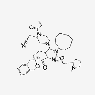 C=CC(=O)N1CCN(C2C3CC[C@]4(Cc5ccccc5CO4)C(=O)C3NC(OCC3CCCN3C)N2C2CCCCCCC2)CC1CC#N